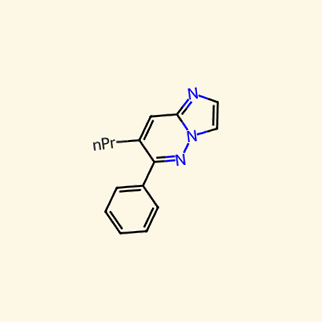 CCCc1cc2nccn2nc1-c1ccccc1